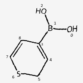 OB(O)C1=CCSC=C1